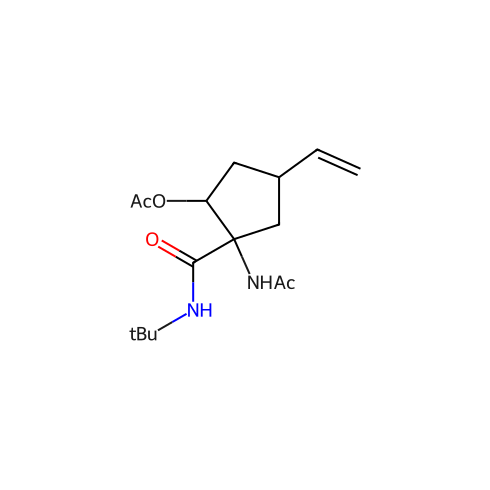 C=CC1CC(OC(C)=O)C(NC(C)=O)(C(=O)NC(C)(C)C)C1